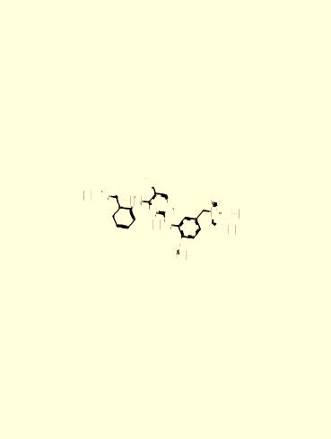 C=CP(C)(=O)Cc1ccc(OC)c(Nc2ncc(Cl)c(NC3=CC=CCC3C(N)=O)n2)c1